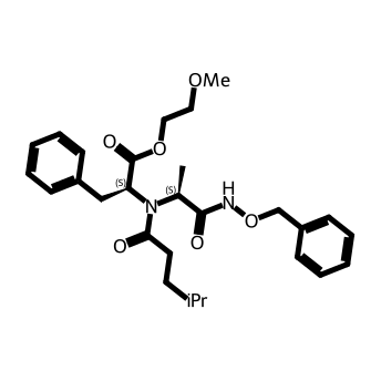 COCCOC(=O)[C@H](Cc1ccccc1)N(C(=O)CCC(C)C)[C@@H](C)C(=O)NOCc1ccccc1